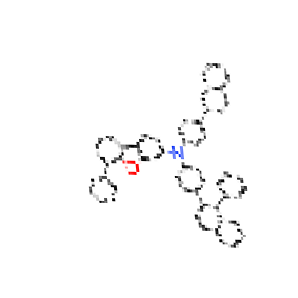 c1ccc(-c2c(-c3ccc(N(c4ccc(-c5ccc6ccccc6c5)cc4)c4ccc5c(c4)oc4c(-c6ccccc6)cccc45)cc3)ccc3ccccc23)cc1